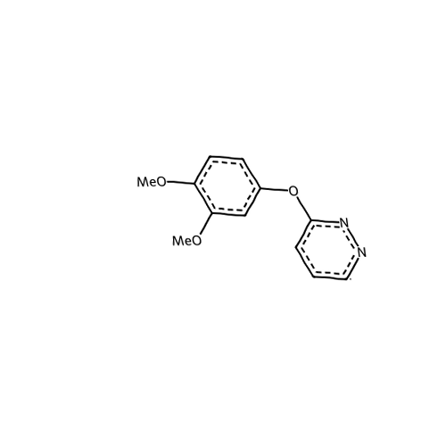 COc1ccc(Oc2cc[c]nn2)cc1OC